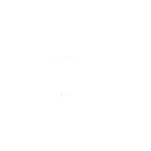 CC1C[C](C)([Ti])C2=CC=CCCC21.Cl.Cl.Cl